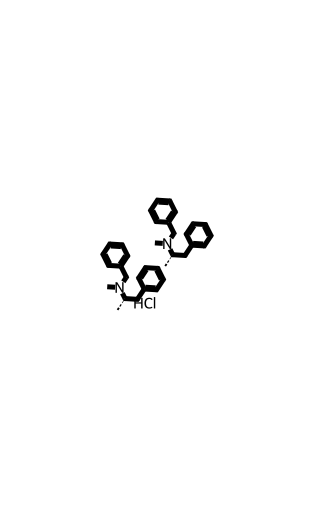 C[C@@H](Cc1ccccc1)N(C)Cc1ccccc1.C[C@@H](Cc1ccccc1)N(C)Cc1ccccc1.Cl